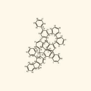 c1ccc(-c2ccc3c(c2)c2ccccc2c2ccccc2c2cc(-c4ccccc4)ccc2n3-c2cccc3c2-c2ccccc2C32c3ccccc3-c3c2ccc2sc4ccccc4c32)cc1